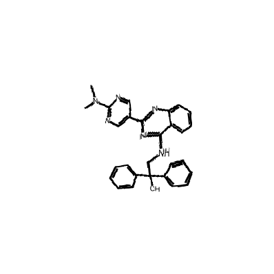 CN(C)c1ncc(-c2nc(NCC(O)(c3ccccc3)c3ccccc3)c3ccccc3n2)cn1